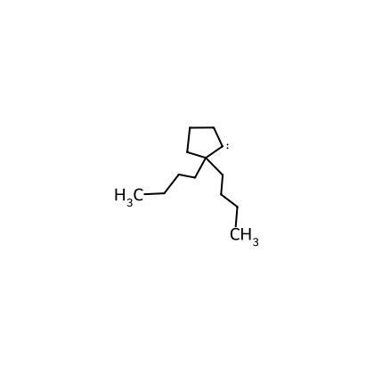 CCCCC1(CCCC)[C]CCC1